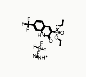 CCOP(=O)(OCC)c1cc2ccc(C(F)(F)F)cc2[nH]c1=O.F[B-](F)(F)F.N#[NH+]